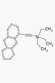 CC[Si](C#Cc1cccc2cc3ccccc3cc12)(CC)CC